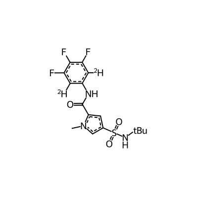 [2H]c1c(F)c(F)c(F)c([2H])c1NC(=O)c1cc(S(=O)(=O)NC(C)(C)C)cn1C